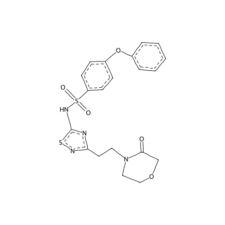 O=C1COCCN1CCc1nsc(NS(=O)(=O)c2ccc(Oc3ccccc3)cc2)n1